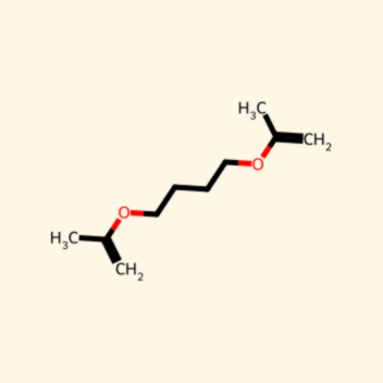 C=C(C)OCCCCOC(=C)C